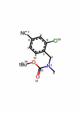 CN(Cc1ccc(C#N)cc1Cl)C(=O)OC(C)(C)C